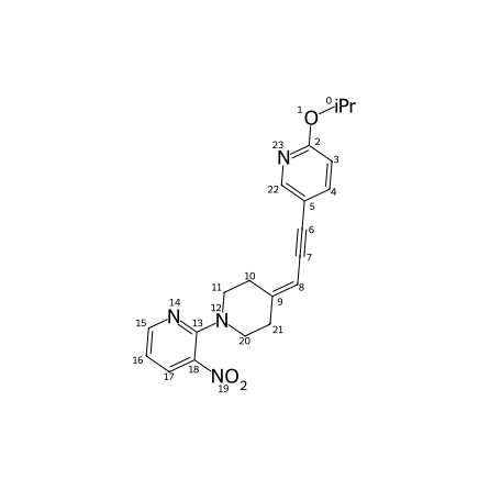 CC(C)Oc1ccc(C#CC=C2CCN(c3ncccc3[N+](=O)[O-])CC2)cn1